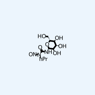 CCCN(N=O)C(=O)N[C@@H]1O[C@H](CO)[C@@H](O)[C@H](O)[C@H]1O